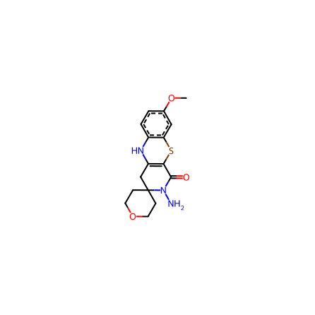 COc1ccc2c(c1)SC1=C(CC3(CCOCC3)N(N)C1=O)N2